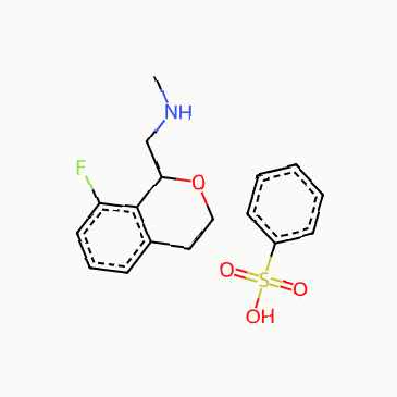 CNCC1OCCc2cccc(F)c21.O=S(=O)(O)c1ccccc1